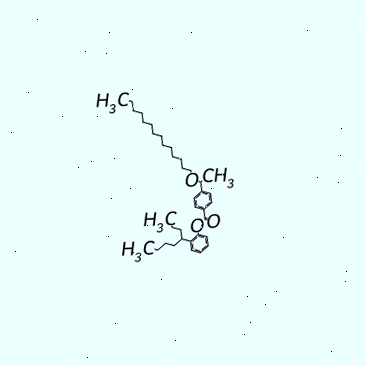 CCCCCCCCCCCCCCOC(C)c1ccc(C(=O)Oc2ccccc2C(CCC)CCCC)cc1